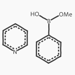 COB(O)c1ccccc1.c1ccncc1